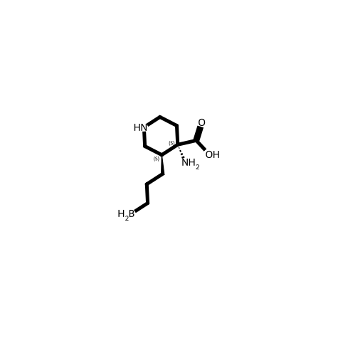 BCCC[C@H]1CNCC[C@@]1(N)C(=O)O